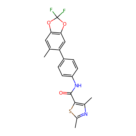 Cc1nc(C)c(C(=O)Nc2ccc(-c3cc4c(cc3C)OC(F)(F)O4)cc2)s1